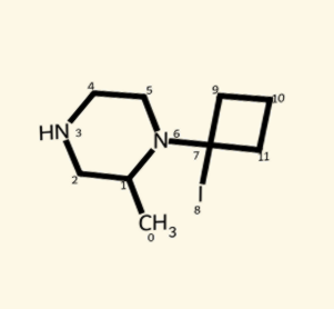 CC1CNCCN1C1(I)CCC1